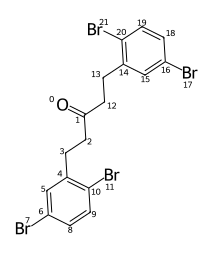 O=C(CCc1cc(Br)ccc1Br)CCc1cc(Br)ccc1Br